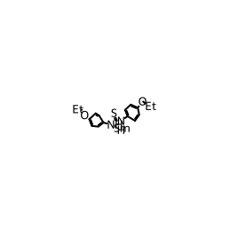 CCOc1ccc(NC(=S)Nc2ccc(OCC)cc2)cc1.[Sm]